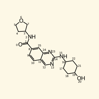 O=C(NC1CCOC1)c1ccc2cnc(NC3CCC(O)CC3)nc2c1